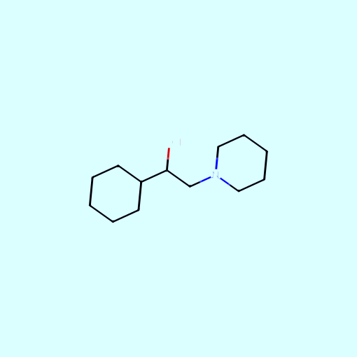 OC(CN1CCCCC1)C1CCCCC1